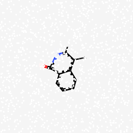 Cc1[nH]c(=O)c2ccccc2c1[N+](=O)[O-]